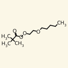 CCCCCOCCOOC(=O)C(C)(C)C